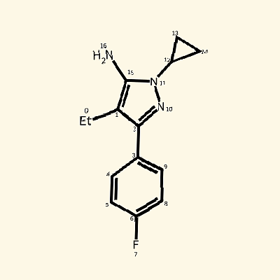 CCc1c(-c2ccc(F)cc2)nn(C2CC2)c1N